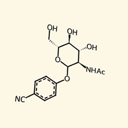 CC(=O)N[C@H]1C(Oc2ccc(C#N)cc2)O[C@H](CO)[C@@H](O)[C@@H]1O